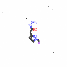 NNC(=O)Cc1ccn(CI)n1